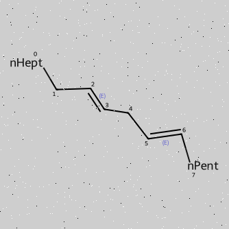 [CH2]CCCCCCC/C=C/C/C=C/CCCCC